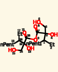 CCCCCC(CC)C(O)(CO)C(=O)OC(=O)C(O)(CO)C(CC)CCCCC